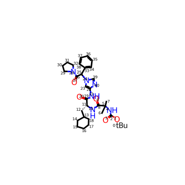 CC(C)(C)OC(=O)NC(C)(C)C(=O)N[C@H](CC1CCCCC1)C(=O)Nc1cn(C(C(=O)N2CCCC2)c2ccccc2)cn1